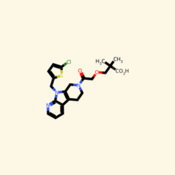 CC(C)(COCC(=O)N1CCc2c(n(Cc3ccc(Cl)s3)c3ncccc23)C1)C(=O)O